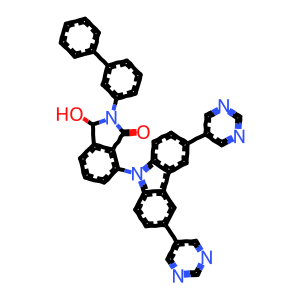 O=C1c2c(cccc2-n2c3ccc(-c4cncnc4)cc3c3cc(-c4cncnc4)ccc32)C(O)N1c1cccc(-c2ccccc2)c1